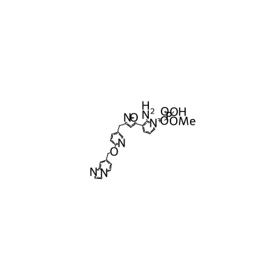 COP(=O)(O)OC[n+]1cccc(-c2cc(Cc3ccc(OCc4ccn5ccnc5c4)nc3)no2)c1N